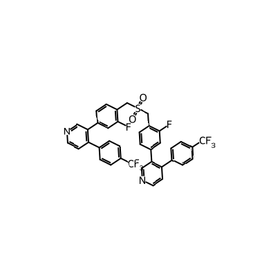 O=S(=O)(Cc1ccc(-c2cnccc2-c2ccc(C(F)(F)F)cc2)cc1F)Cc1ccc(-c2cnccc2-c2ccc(C(F)(F)F)cc2)cc1F